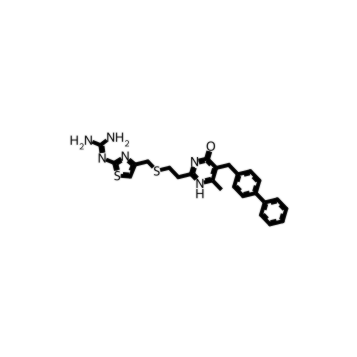 Cc1[nH]c(CCSCc2csc(N=C(N)N)n2)nc(=O)c1Cc1ccc(-c2ccccc2)cc1